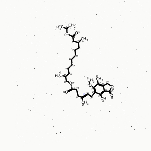 [CH2]C([CH2])OC(=O)CC(C)CCCCCCCC(C)COC(=O)CC/C(C)=C/Cc1c(O)c2c(c(C)c1OC)COC2=O